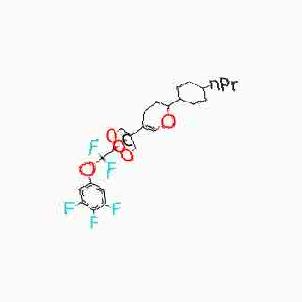 CCCC1CCC(C2CCC(C34COC(C(F)(F)Oc5cc(F)c(F)c(F)c5)(OC3)OC4)=CO2)CC1